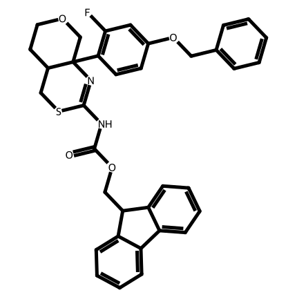 O=C(NC1=NC2(c3ccc(OCc4ccccc4)cc3F)COCCC2CS1)OCC1c2ccccc2-c2ccccc21